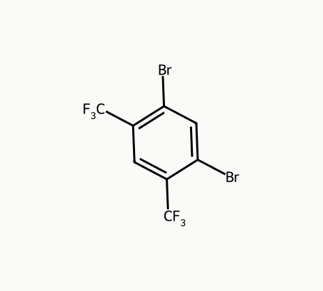 FC(F)(F)c1cc(C(F)(F)F)c(Br)cc1Br